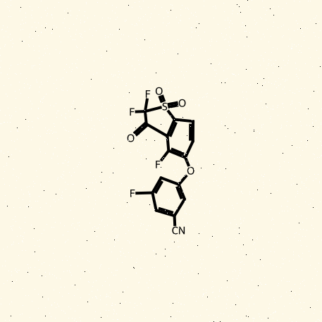 N#Cc1cc(F)cc(Oc2ccc3c(c2F)C(=O)C(F)(F)S3(=O)=O)c1